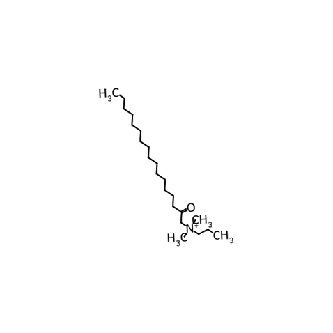 CCCCCCCCCCCCCCCC(=O)C[N+](C)(C)CCC